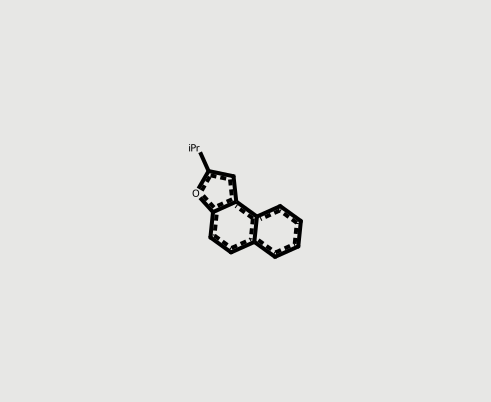 CC(C)c1cc2c(ccc3ccccc32)o1